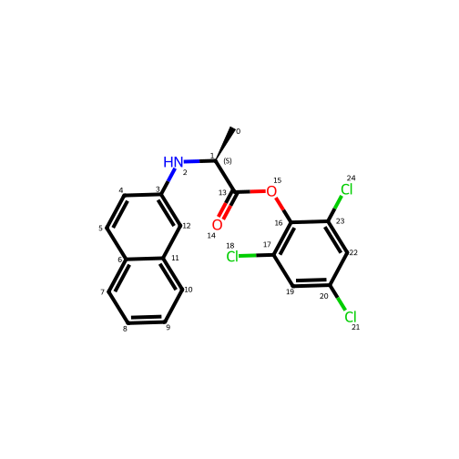 C[C@H](Nc1ccc2ccccc2c1)C(=O)Oc1c(Cl)cc(Cl)cc1Cl